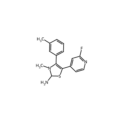 Cc1cccc(C2=C(c3ccnc(F)c3)SC(N)N2C)c1